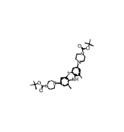 Cc1cc(N2CCN(C(=O)OC(C)(C)C)CC2)cc2c1Nc1c(C)cc(N3CCN(C(=O)OC(C)(C)C)CC3)cc1S2